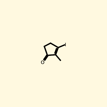 CC1=C(I)CCC1=O